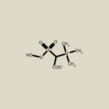 C[N+](C)(C)C(C(=O)[O-])S(=O)(=O)OO